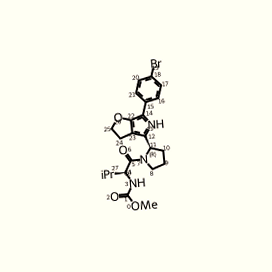 COC(=O)N[C@H](C(=O)N1CCC[C@@H]1c1[nH]c(-c2ccc(Br)cc2)c2c1CCO2)C(C)C